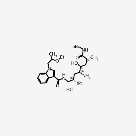 CCCCNC(=O)[C@H](C)C[C@H](O)[C@@H](N)C[C@@H](CNC(=O)c1cn(CC(C)OCC)c2ccccc12)C(C)C.Cl